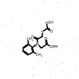 CCCCCCCCC(=O)SCC(=O)N(CC(=O)OC)c1c(C)cccc1C